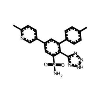 Cc1ccc(-c2cc(-c3ccc(C)nc3)cc(S(N)(=O)=O)c2-c2nn[nH]n2)cc1